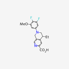 CCC1CN(c2cc(F)c(F)c(OC)c2)Cc2cnc(C(=O)O)cc21